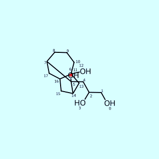 OCC(O)CC1(O)C2CCCC3(O)CC1CC3C2